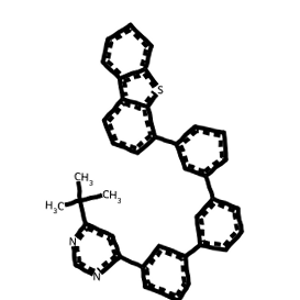 CC(C)(C)c1cc(-c2cccc(-c3cccc(-c4cccc(-c5cccc6c5sc5ccccc56)c4)c3)c2)ncn1